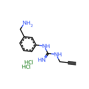 C#CCNC(=N)Nc1cccc(CN)c1.Cl.Cl